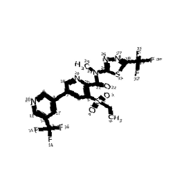 CCS(=O)(=O)c1cc(-c2cncc(C(F)(F)F)c2)cnc1C(=O)N(C)c1nnc(C(F)(F)F)s1